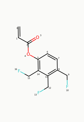 C=CC(=O)Oc1ccc(CF)c(CF)c1CF